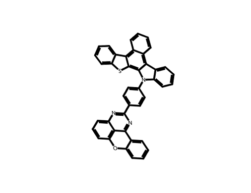 c1ccc2c(c1)Oc1cccc3nc(-c4ccc(-n5c6ccccc6c6c7ccccc7c7c8ccccc8sc7c65)cc4)nc-2c13